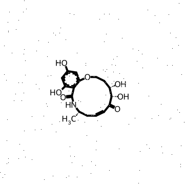 C[C@H]1C/C=C\C(=O)[C@@H](O)[C@@H](O)CCOc2cc(O)cc(O)c2C(=O)N1